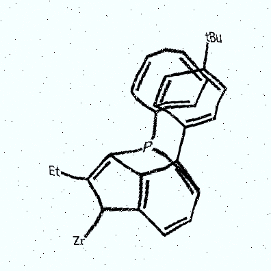 CCC1=c2c3c(ccc(c3-c3ccc(C(C)(C)C)cc3)p2-c2ccccc2)[CH]1[Zr]